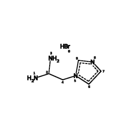 Br.NC(N)Cn1ccnc1